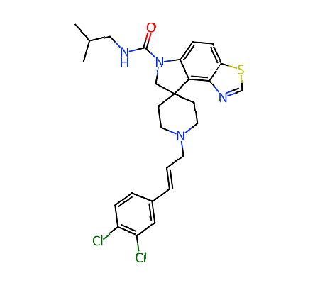 CC(C)CNC(=O)N1CC2(CCN(C/C=C/c3ccc(Cl)c(Cl)c3)CC2)c2c1ccc1scnc21